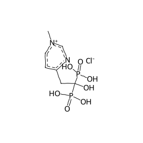 C[n+]1ccc(CC(O)(P(=O)(O)O)P(=O)(O)O)nc1.[Cl-]